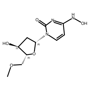 COC[C@H]1O[C@@H](n2ccc(NO)nc2=O)C[C@@H]1O